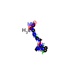 C#Cc1c(F)ccc2cccc(-c3ncc4c(N5CC6CCC(C5)N6)nc(OCC5(CN6CCC(F)(CN7CCN(c8ccc9c(c8)n(C)c(=O)n9C8CCC(=O)NC8=O)CC7)CC6)CC5)nc4c3F)c12